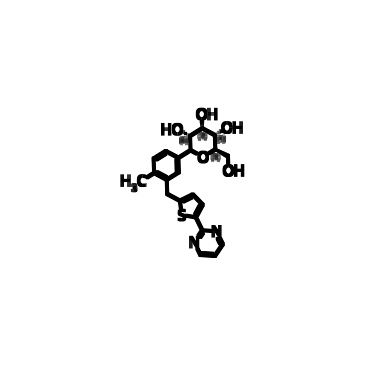 Cc1ccc(C2O[C@H](CO)[C@@H](O)[C@H](O)[C@H]2O)cc1Cc1ccc(-c2ncccn2)s1